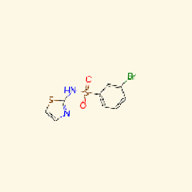 O=S(=O)(Nc1nccs1)c1cccc(Br)c1